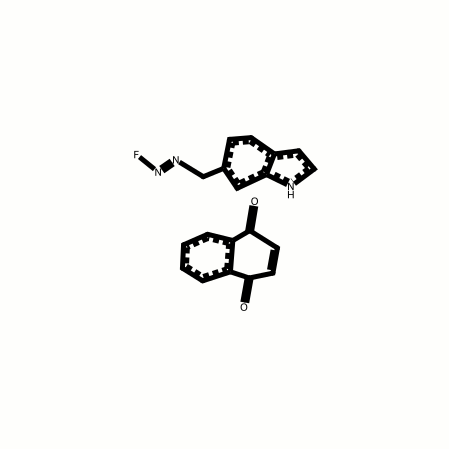 FN=NCc1ccc2cc[nH]c2c1.O=C1C=CC(=O)c2ccccc21